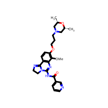 COc1c(OCCCN2C[C@@H](C)O[C@@H](C)C2)ccc2c1N=C(NC(=O)c1cccnc1)N1CCN=C21